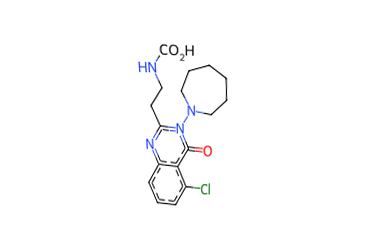 O=C(O)NCCc1nc2cccc(Cl)c2c(=O)n1N1CCCCCC1